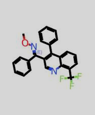 CO/N=C(\c1ccccc1)c1cnc2c(C(F)(F)F)cccc2c1-c1ccccc1